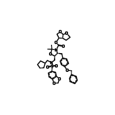 CC1(C)O[C@H](CN(CC2CCCC2)S(=O)(=O)c2ccc3c(c2)OCO3)[C@H](Cc2ccc(OCc3ccccc3)cc2)N1C(=O)OC1COC2OCCC12